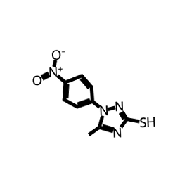 Cc1nc(S)nn1-c1ccc([N+](=O)[O-])cc1